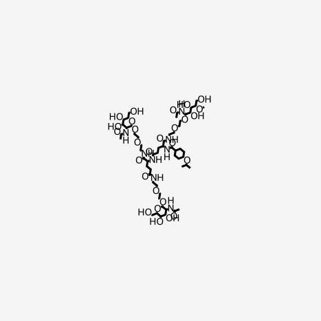 COC(CO)C(O)C(O)C(NC(C)=O)OCCOCCNC(=O)C(CCC(=O)NC(CCC(=O)NCCOCCOC1OC(CO)C(O)C(O)C1NC(C)=O)C(=O)NCCOCCOC1OC(CO)C(O)C(O)C1NC(C)=O)NC(=O)C1CCC(OC(C)C)CC1